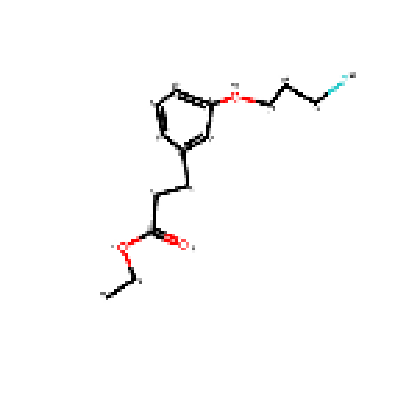 CCOC(=O)CCc1cccc(OCCCF)c1